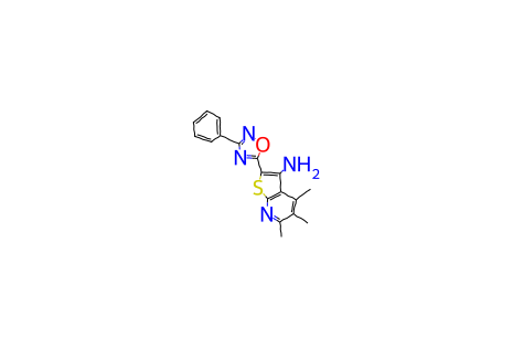 Cc1nc2sc(-c3nc(-c4ccccc4)no3)c(N)c2c(C)c1C